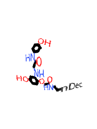 CCCCCCCCCCCCNC(=O)COc1ccc(O)cc1NCC(=O)Nc1ccc(O)cc1